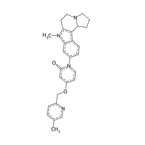 Cc1ccc(COc2ccn(-c3ccc4c5c(n(C)c4c3)CCN3CCCC53)c(=O)c2)nc1